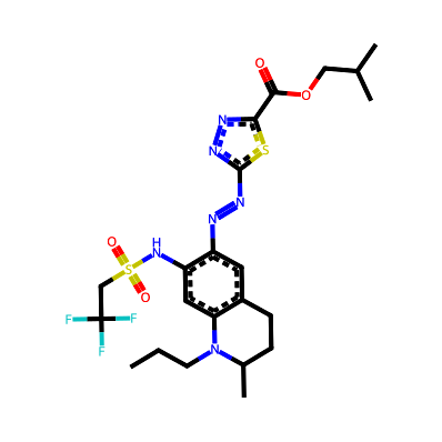 CCCN1c2cc(NS(=O)(=O)CC(F)(F)F)c(N=Nc3nnc(C(=O)OCC(C)C)s3)cc2CCC1C